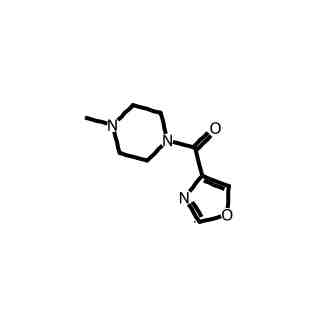 CN1CCN(C(=O)c2co[c]n2)CC1